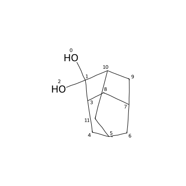 OC1(O)C2C[C]3CC(C2)CC1C3